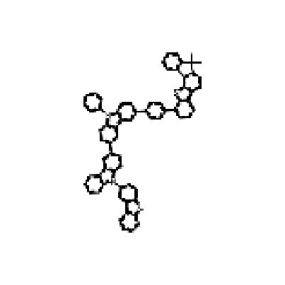 CC1(C)c2ccccc2-c2c1ccc1c2sc2c(-c3ccc(-c4ccc5c(c4)c4cc(-c6ccc7c(c6)c6ccccc6n7-c6ccc7oc8ccccc8c7c6)ccc4n5-c4ccccc4)cc3)cccc21